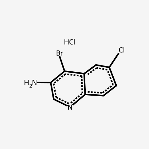 Cl.Nc1cnc2ccc(Cl)cc2c1Br